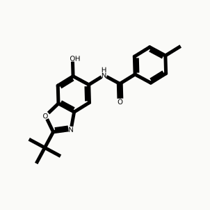 Cc1ccc(C(=O)Nc2cc3nc(C(C)(C)C)oc3cc2O)cc1